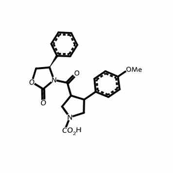 COc1ccc(C2CN(C(=O)O)CC2C(=O)N2C(=O)OC[C@H]2c2ccccc2)cc1